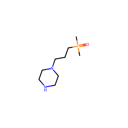 CP(C)(=O)CCCN1CCNCC1